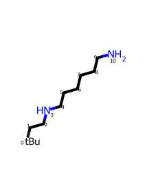 CC(C)(C)CCNCCCCCCN